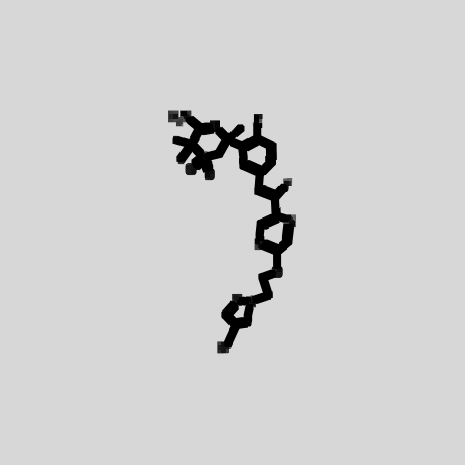 CC1(C)C(N)=N[C@](C)(c2cc(/C=C(\F)c3cnc(OCCn4cc(Br)cn4)cn3)ccc2F)CS1(=O)=O